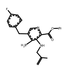 Bc1c(Cc2ccc(F)cc2)cnc(C(=O)OC(C)C)c1NCC(=C)C